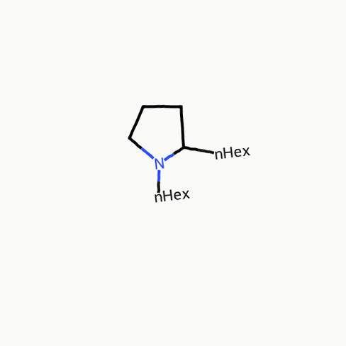 CCCCCCC1CCCN1CCCCCC